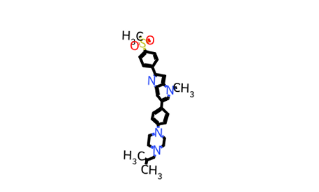 CC(C)CN1CCN(c2ccc(-c3cc4nc(-c5ccc(S(C)(=O)=O)cc5)cc-4n(C)c3)cc2)CC1